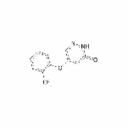 O=c1cc(Oc2ccccc2C(F)(F)F)cn[nH]1